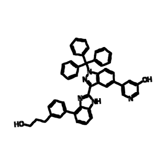 OCCCc1cccc(-c2cccc3[nH]c(-c4nn(C(c5ccccc5)(c5ccccc5)c5ccccc5)c5ccc(-c6cncc(O)c6)cc45)nc23)c1